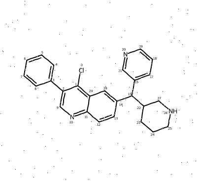 Clc1c(-c2ccccc2)cnc2ccc(C(c3cccnc3)C3CCCNC3)cc12